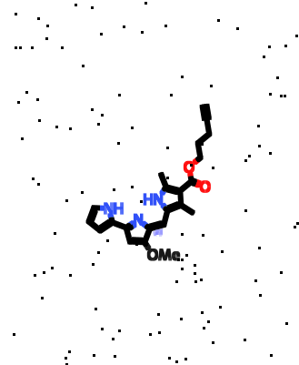 C#CCCCOC(=O)c1c(C)[nH]c(/C=C2\N=C(c3ccc[nH]3)C=C2OC)c1C